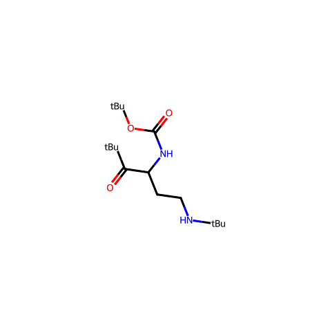 CC(C)(C)NCCC(NC(=O)OC(C)(C)C)C(=O)C(C)(C)C